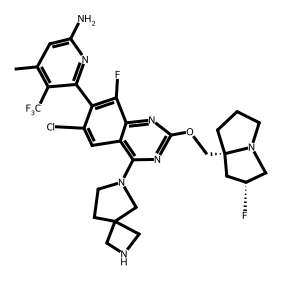 Cc1cc(N)nc(-c2c(Cl)cc3c(N4CCC5(CNC5)C4)nc(OC[C@]45CCCN4C[C@H](F)C5)nc3c2F)c1C(F)(F)F